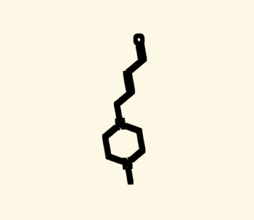 CN1CCN(CC=CC=O)CC1